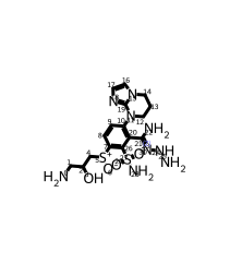 NCC(O)C[S+]([O-])c1ccc(N2CCCn3ccnc32)c(/C(N)=N/NN)c1S(N)(=O)=O